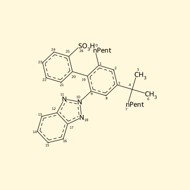 CCCCCc1cc(C(C)(C)CCCCC)cc(-n2nc3ccccc3n2)c1-c1ccccc1S(=O)(=O)O